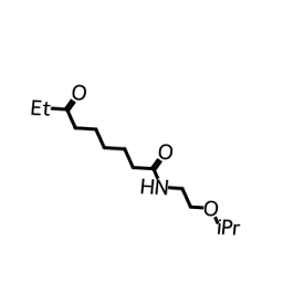 CCC(=O)CCCCCC(=O)NCCOC(C)C